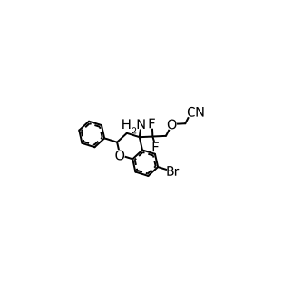 N#CCOCC(F)(F)C1(N)CC(c2ccccc2)Oc2ccc(Br)cc21